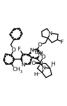 Cc1cccc(OCc2ccccc2)c1-c1ncc2c(N3C[C@H]4CC[C@@H](C3)N4C(=O)OC(C)(C)C)nc(OCC34CCCN3CC(F)C4)nc2c1F